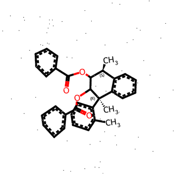 Cc1ccccc1[C@]1(C)c2ccccc2[C@H](C)C(OC(=O)c2ccccc2)C1OC(=O)c1ccccc1